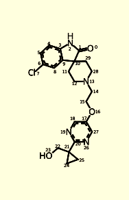 O=C1Nc2ccc(Cl)cc2C12CCN(CCOc1cnc(C3(CO)CC3)nc1)CC2